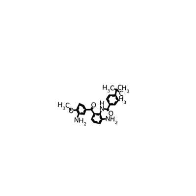 COc1ccc(C(=O)c2cccc(N)c2NC(=O)c2ccc(C(C)(C)C)cc2)cc1N